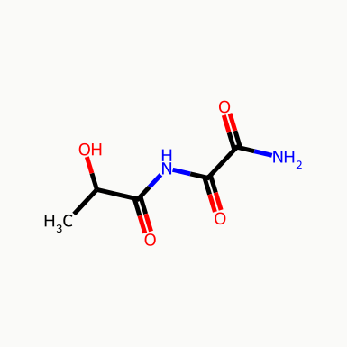 CC(O)C(=O)NC(=O)C(N)=O